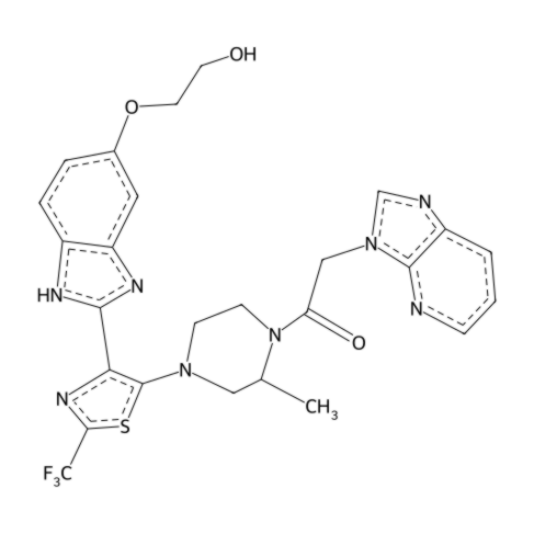 CC1CN(c2sc(C(F)(F)F)nc2-c2nc3cc(OCCO)ccc3[nH]2)CCN1C(=O)Cn1cnc2cccnc21